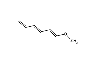 C=C/C=C/C=C/O[SiH3]